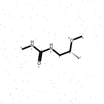 CNC(=O)NC[C@@H](C)OC